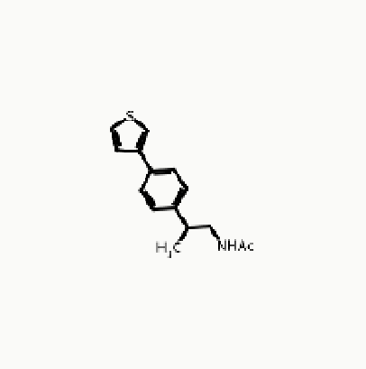 CC(=O)NCC(C)c1ccc(-c2ccsc2)cc1